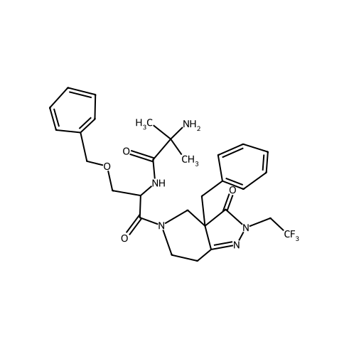 CC(C)(N)C(=O)NC(COCc1ccccc1)C(=O)N1CCC2=NN(CC(F)(F)F)C(=O)C2(Cc2ccccc2)C1